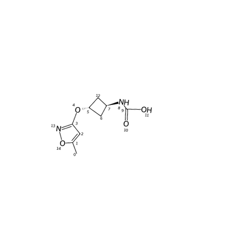 Cc1cc(O[C@H]2C[C@H](NC(=O)O)C2)no1